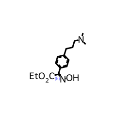 CCOC(=O)/C(=N/O)c1ccc(CCCN(C)C)cc1